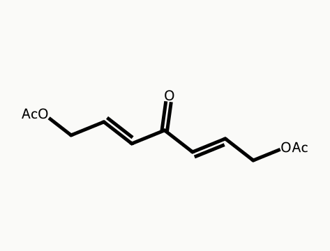 CC(=O)OCC=CC(=O)C=CCOC(C)=O